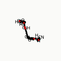 N#Cc1ccc2nccc(NCCc3ccc4cc(C(=O)N5CCN(C(=O)CCCCCCCCCCNC(=O)CCCNc6cccc7c6CN(C6CCC(=O)NC6=O)C7=O)CC5)ccc4c3)c2c1